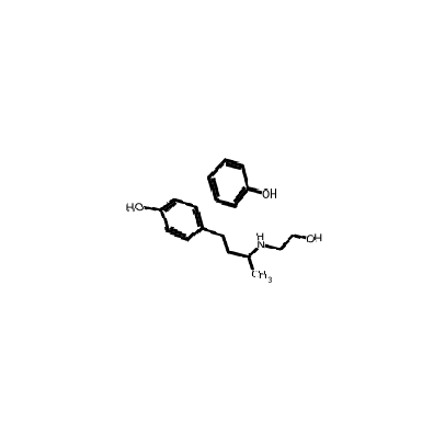 CC(CCc1ccc(O)cc1)NCCO.Oc1ccccc1